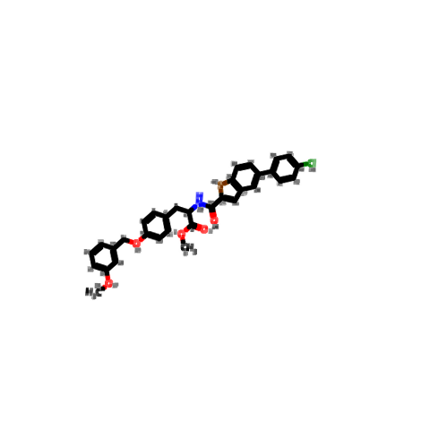 COC(=O)C(Cc1ccc(OCc2cccc(OC)c2)cc1)NC(=O)c1cc2cc(-c3ccc(Cl)cc3)ccc2s1